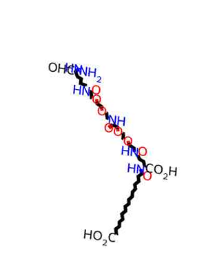 NN[C@H](C=O)CCCCNC(=O)COCCOCCNC(=O)COCCOCCNC(=O)CC[C@H](NC(=O)CCCCCCCCCCCCCCCCC(=O)O)C(=O)O